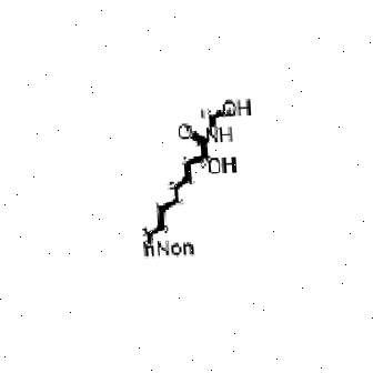 CCCCCCCCCCCCCCCCC(O)C(=O)NCO